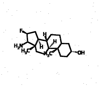 C[C@]12CC[C@@H](O)CC1CC[C@@H]1[C@@H]2CC[C@]2(C)C(N)[C@@H](F)C[C@@H]12